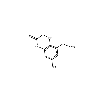 CNCc1cc([N+](=O)[O-])cc2c1NCC(=O)N2